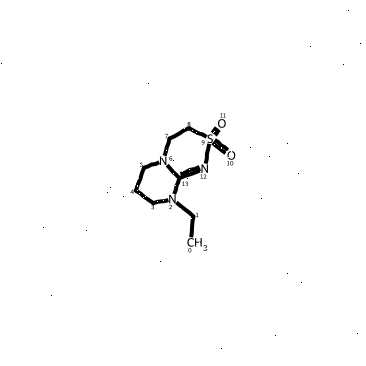 CCN1CCCN2CCS(=O)(=O)N=C12